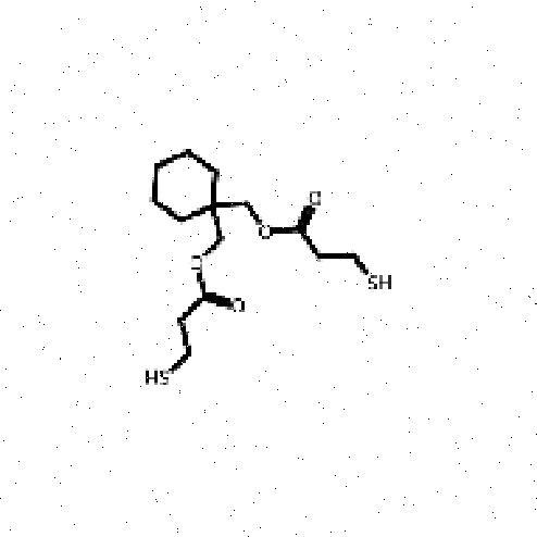 O=C(CCS)OCC1(COC(=O)CCS)CCCCC1